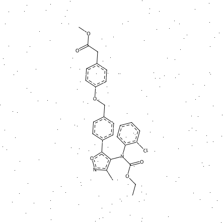 CCOC(=O)N(c1ccccc1Cl)c1c(C)noc1-c1ccc(COc2ccc(CC(=O)OC)cc2)cc1